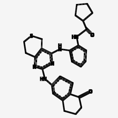 O=C1CCCc2cc(Nc3nc4c(c(Nc5ccccc5NC(=O)C5CCCC5)n3)CSCC4)ccc21